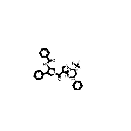 O=C(NC1CN(C(=O)c2cnn3c2N[C@@H](c2ccccc2)C[C@H]3C(F)(F)F)CC1c1ccccc1)c1ccccc1